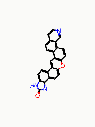 O=c1nc2c(ccc3c4cc5c(ccc6c7cnccc7ccc56)oc4ccc32)[nH]1